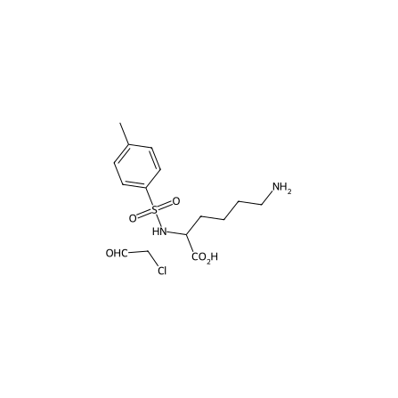 Cc1ccc(S(=O)(=O)NC(CCCCN)C(=O)O)cc1.O=CCCl